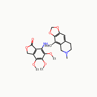 CCOc1c(N)c2c(c(OCC)c1OCC)COC2=O.COc1c2c([c]c3c1OCO3)CCN(C)C2